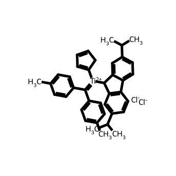 Cc1ccc([C](c2ccc(C)cc2)=[Ti+2]([C]2=CC=CC2)[CH]2c3cc(C(C)C)ccc3-c3ccc(C(C)C)cc32)cc1.[Cl-].[Cl-]